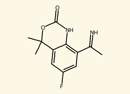 CC(=N)c1cc(F)cc2c1NC(=O)OC2(C)C